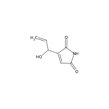 C=CC(O)C1=CC(=O)NC1=O